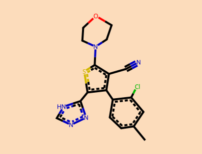 Cc1ccc(-c2c(-c3nnc[nH]3)sc(N3CCOCC3)c2C#N)c(Cl)c1